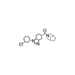 O=C(c1ccc2c(c1)ncn2-c1cccc(Cl)c1)N1CC2CCC(C2)C1